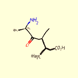 CCCCCCCC(C(=O)O)C(C)C(=O)[C@H](N)C(C)C